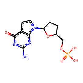 Nc1nc2c(ccn2[C@H]2CC[C@@H](COP(=O)(O)O)O2)c(=O)[nH]1